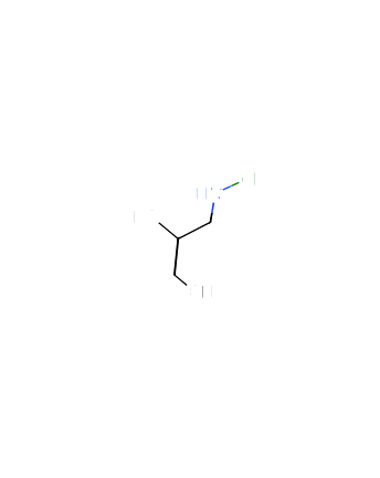 CCC(C)CNCl